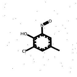 Cc1cc(Cl)c(O)c(N=O)c1